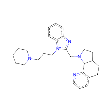 c1cnc2c(c1)CCC1CCN(Cc3nc4ccccc4n3CCCN3CCCCC3)C21